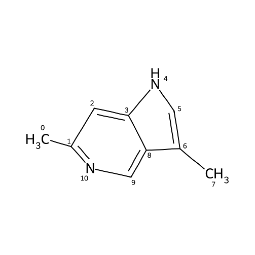 Cc1cc2[nH]cc(C)c2cn1